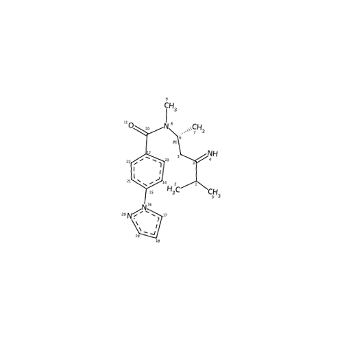 CC(C)C(=N)C[C@@H](C)N(C)C(=O)c1ccc(-n2cccn2)cc1